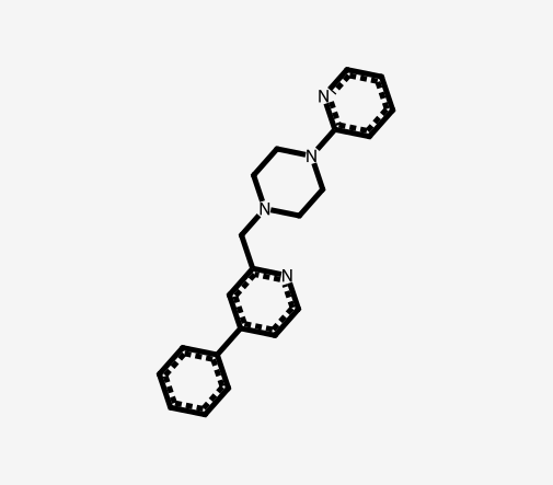 c1ccc(-c2ccnc(CN3CCN(c4ccccn4)CC3)c2)cc1